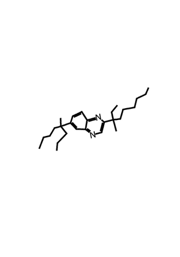 CCCCCCC(C)(CC)c1cnc2cc(C(C)(CCC)CCCC)ccc2n1